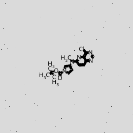 CN(c1ccc2ncnc(Cl)c2n1)[C@H]1CCN(C(=O)OC(C)(C)C)C1